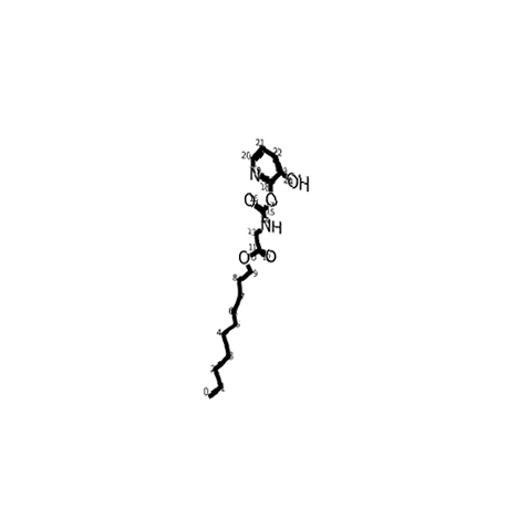 CCCCCCCCCCOC(=O)CNC(=O)Oc1ncccc1O